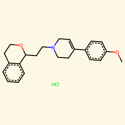 COc1ccc(C2=CCN(CCC3OCCc4ccccc43)CC2)cc1.Cl